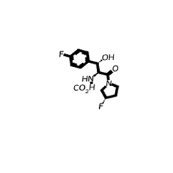 O=C(O)N[C@H](C(=O)N1CC[C@H](F)C1)[C@@H](O)c1ccc(F)cc1